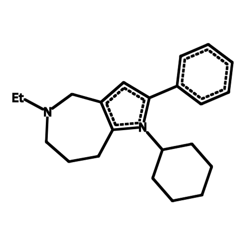 CCN1CCCc2c(cc(-c3ccccc3)n2C2CCCCC2)C1